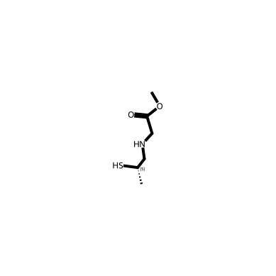 COC(=O)CNC[C@H](C)S